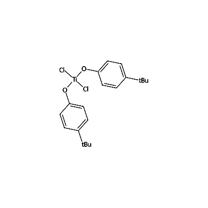 CC(C)(C)c1ccc([O][Ti]([Cl])([Cl])[O]c2ccc(C(C)(C)C)cc2)cc1